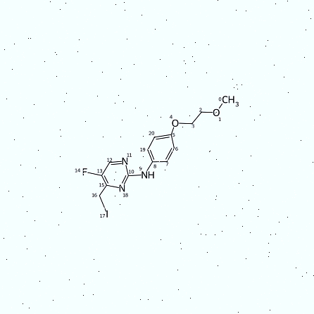 COCCOc1ccc(Nc2ncc(F)c(CI)n2)cc1